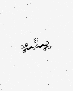 O=S(=O)([O-])CCSSCCS(=O)(=O)[O-].[K+].[K+]